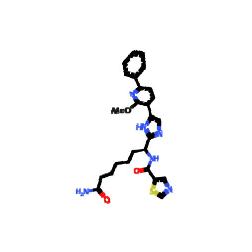 COc1nc(-c2ccccc2)ccc1-c1cnc([C@H](CCCCCC(N)=O)NC(=O)c2cncs2)[nH]1